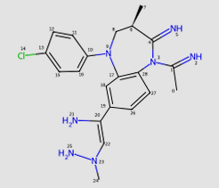 CC(=N)N1C(=N)[C@H](C)CN(c2ccc(Cl)cc2)c2cc(/C(N)=C/N(C)N)ccc21